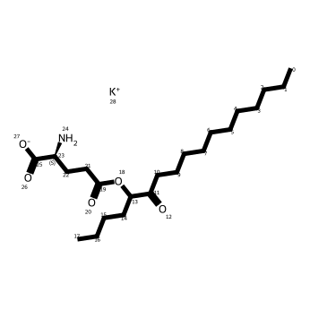 CCCCCCCCCCCC(=O)C(CCCC)OC(=O)CC[C@H](N)C(=O)[O-].[K+]